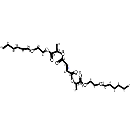 CCCCCCOCCOC(=O)C(C)OC(=O)/C=C/C(=O)OC(C)C(=O)OCCOCCCCCC